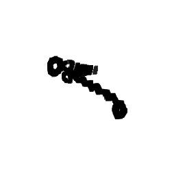 O=C(OC1CCCCCCC1)C(CCCCCCCCCCc1ccccc1)=NO